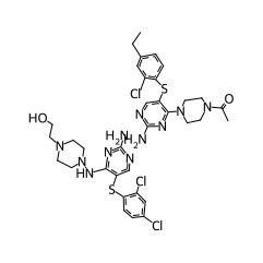 CCc1ccc(Sc2cnc(N)nc2N2CCN(C(C)=O)CC2)c(Cl)c1.Nc1ncc(Sc2ccc(Cl)cc2Cl)c(NN2CCN(CCO)CC2)n1